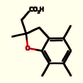 Cc1cc(C)c2c(c1C)OC(C)(CC(=O)O)C2